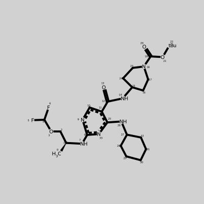 C[C@@H](COC(F)F)Nc1ncc(C(=O)NC2CCN(C(=O)OC(C)(C)C)CC2)c(NC2CCCCC2)n1